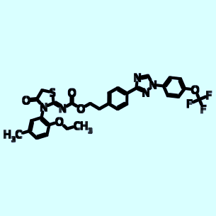 CCOc1ccc(C)cc1N1C(=O)CS/C1=N\C(=O)OCCc1ccc(-c2ncn(-c3ccc(OC(F)(F)F)cc3)n2)cc1